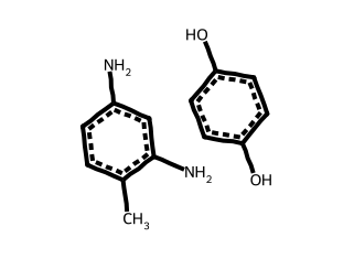 Cc1ccc(N)cc1N.Oc1ccc(O)cc1